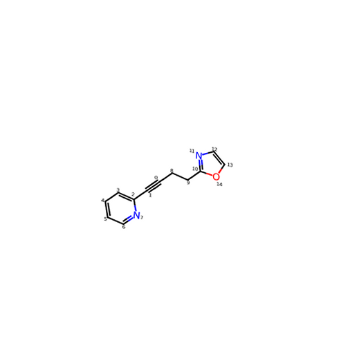 C(#Cc1ccccn1)CCc1ncco1